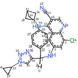 [2H]C(Nc1cc(Cl)c2ncc(C#N)c(NC34CC(C3)C4)c2c1)(c1ccc(F)cc1)c1cn(C2CC2)nn1